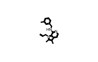 C=CCn1c(C)c(C)c2ccnc(NCc3cccc(C)c3)c21